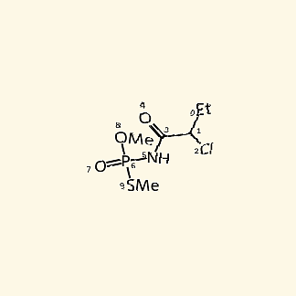 CCC(Cl)C(=O)NP(=O)(OC)SC